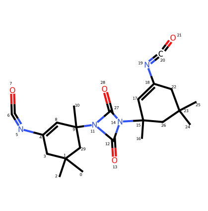 CC1(C)CC(N=C=O)=CC(C)(N2C(=O)N(C3(C)C=C(N=C=O)CC(C)(C)C3)C2=O)C1